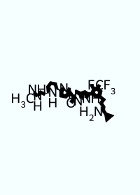 CC(=N)NCC[C@@H]1CCC[C@@H](c2ccc(-n3cc4cc(-c5cc(CCCC(N)C6CC6)cc(C(F)(F)F)c5F)[nH]c4nc3=O)cn2)N1